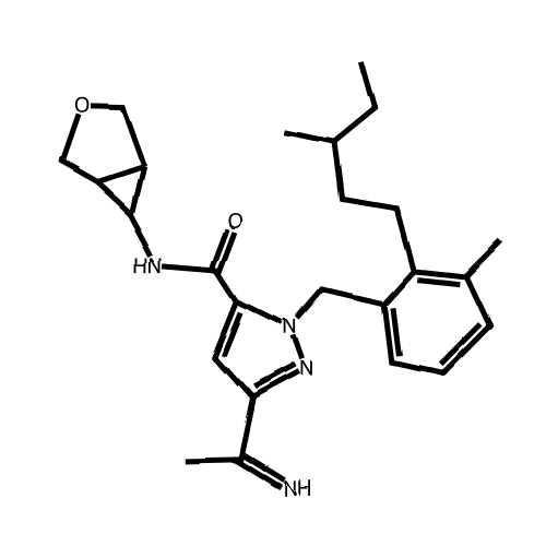 CCC(C)CCc1c(C)cccc1Cn1nc(C(C)=N)cc1C(=O)NC1C2COCC21